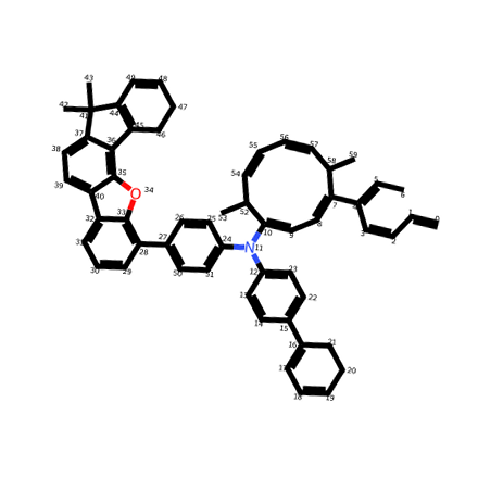 C=C\C=C/C(=C\C)C1=C/C=C(/N(c2ccc(C3=CC=CCC3)cc2)c2ccc(-c3cccc4c3oc3c5c(ccc34)C(C)(C)C3=C5CCC=C3)cc2)C(C)/C=C\C=C/C\1C